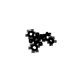 CC(=O)N1NC(=C2C(=O)N(C3CCCCC3)C(=O)N(C3CCCCC3)C2=O)CC1c1ccccc1